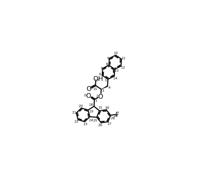 O=C(O[C@H](Cc1ccc2ccccc2c1)C(=O)O)C1c2ccccc2-c2ccc(F)cc21